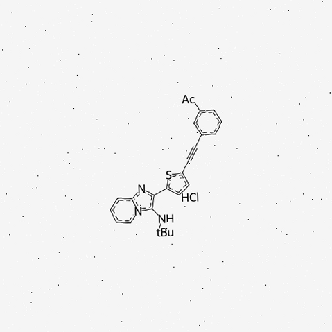 CC(=O)c1cccc(C#Cc2ccc(-c3nc4ccccn4c3NC(C)(C)C)s2)c1.Cl